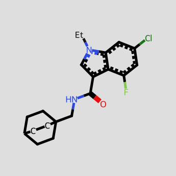 CCn1cc(C(=O)NCC23CCC(CC2)CC3)c2c(F)cc(Cl)cc21